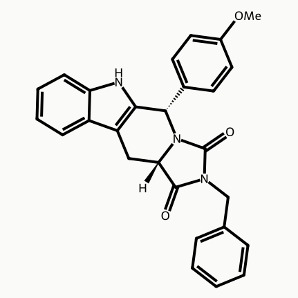 COc1ccc([C@H]2c3[nH]c4ccccc4c3C[C@H]3C(=O)N(Cc4ccccc4)C(=O)N23)cc1